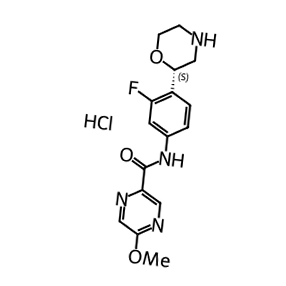 COc1cnc(C(=O)Nc2ccc([C@H]3CNCCO3)c(F)c2)cn1.Cl